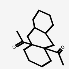 CC(=O)C12CCCCC1(C(C)=O)CC1CCCCC1C2